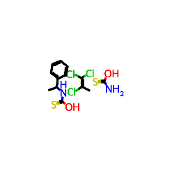 CC(Cl)=C(Cl)Cl.CC(NC(O)=S)c1ccccc1.NC(O)=S